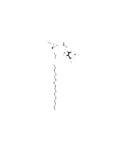 CCCCCCCCCCCCCCCCOCCCOP(=O)(COC(C)Cn1cnc2c(=O)[nH]c(N)nc21)OCC